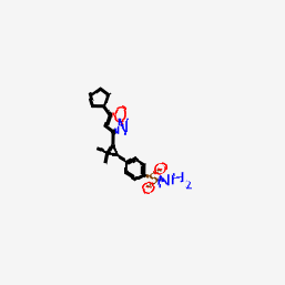 CC1(C)C(c2ccc(S(N)(=O)=O)cc2)C1c1cc(C2CCCC2)on1